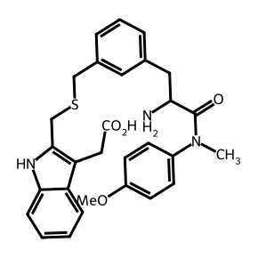 COc1ccc(N(C)C(=O)C(N)Cc2cccc(CSCc3[nH]c4ccccc4c3CC(=O)O)c2)cc1